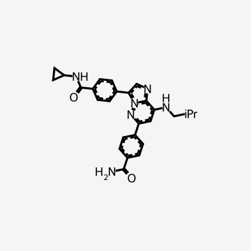 CC(C)CNc1cc(-c2ccc(C(N)=O)cc2)nn2c(-c3ccc(C(=O)NC4CC4)cc3)cnc12